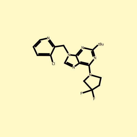 CC(C)(C)c1nc(N2CCC(F)(F)C2)c2ncn(Cc3ncccc3Cl)c2n1